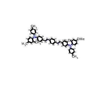 COc1ccc(N(c2ccc(C)cc2)c2ccc(/C=C/c3ccc(/C=C/c4ccc(N(c5ccc(C)cc5)c5ccc(C)cc5C)cc4)cc3)cc2)c(C)c1